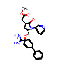 COC(=O)C[C@@H]1C[C@@H](COC2(C(=N)N)C=CC(c3ccccc3)C=C2)N(c2cccnc2)C1=O